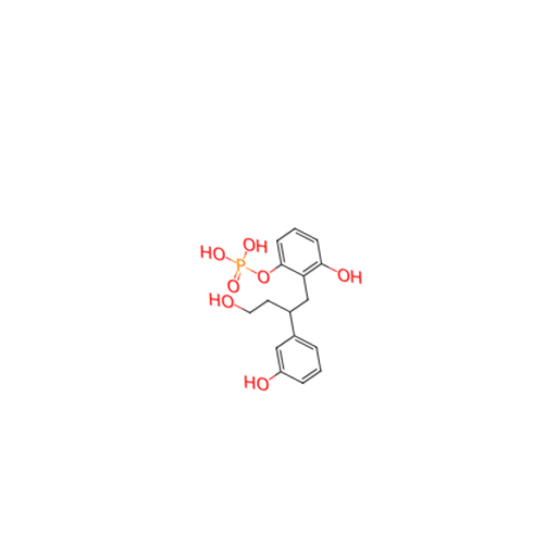 O=P(O)(O)Oc1cccc(O)c1CC(CCO)c1cccc(O)c1